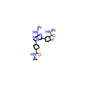 CC(C)CNc1nc(-c2ccc(F)c(C(=O)NC(C)C)c2)cn2c(-c3ccc(C(=O)NC4CC4)cc3)cnc12